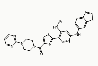 CC(C)Nc1cc(Nc2ccc3ncsc3c2)ncc1-c1nc(C(=O)N2CCN(c3ncccn3)CC2)cs1